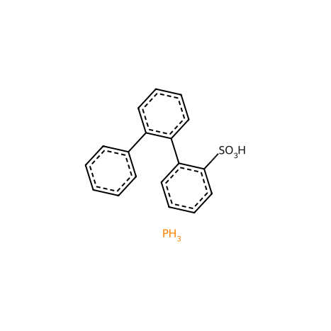 O=S(=O)(O)c1ccccc1-c1ccccc1-c1ccccc1.P